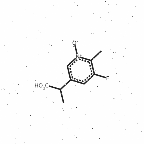 Cc1c(F)cc(C(C)C(=O)O)c[n+]1[O-]